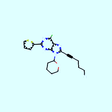 CCCCC#Cc1nc2c(Cl)nc(-c3cccs3)nc2n1C1CCCCO1